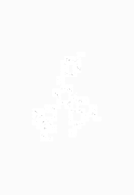 CNc1cc(F)cc2c1[nH]c1nc(Oc3cnc(C)nc3)nc(N3C[C@@H]4[C@H](N)C[C@]4(C)C3)c12